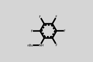 CCCCNc1c(F)c(F)c(F)c(F)c1F